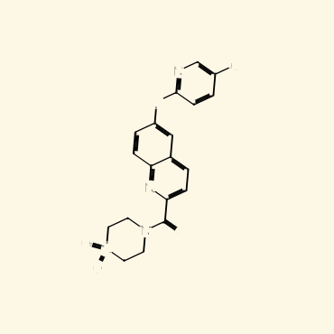 O=C(c1ccc2cc(Oc3ccc(C(F)(F)F)cn3)ccc2n1)N1CCS(=O)(=O)CC1